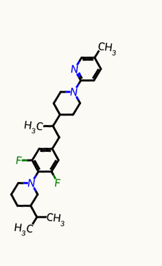 Cc1ccc(N2CCC(C(C)Cc3cc(F)c(N4CCCC(C(C)C)C4)c(F)c3)CC2)nc1